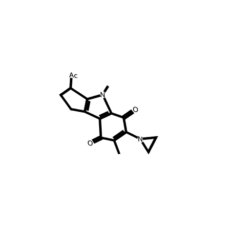 CC(=O)C1CCc2c3c(n(C)c21)C(=O)C(N1CC1)=C(C)C3=O